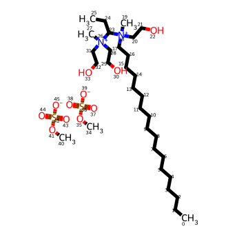 CCCCCCCCCCCCCCCCCC[N+](C)(CCO)C(CC)[N+](C)(CCO)CCO.COS(=O)(=O)[O-].COS(=O)(=O)[O-]